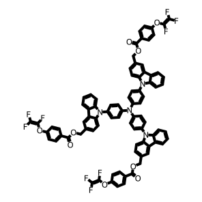 O=C(OCc1ccc2c(c1)c1ccccc1n2-c1ccc(N(c2ccc(-n3c4ccccc4c4cc(COC(=O)c5ccc(OC(F)=C(F)F)cc5)ccc43)cc2)c2ccc(-n3c4ccccc4c4cc(COC(=O)c5ccc(OC(F)=C(F)F)cc5)ccc43)cc2)cc1)c1ccc(OC(F)=C(F)F)cc1